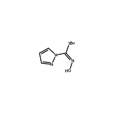 CC(C)(C)/C(=N/O)n1cccn1